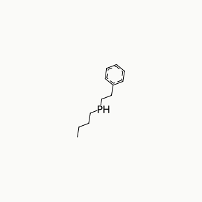 CCCCPCCc1ccccc1